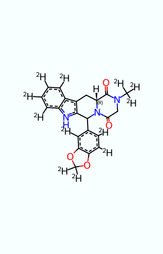 [2H]c1c([2H])c(C2c3[nH]c4c([2H])c([2H])c([2H])c([2H])c4c3C[C@@H]3C(=O)N(C([2H])([2H])[2H])CC(=O)N23)c([2H])c2c1OC([2H])([2H])O2